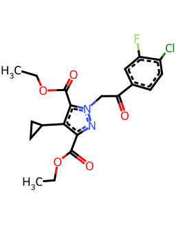 CCOC(=O)c1nn(CC(=O)c2ccc(Cl)c(F)c2)c(C(=O)OCC)c1C1CC1